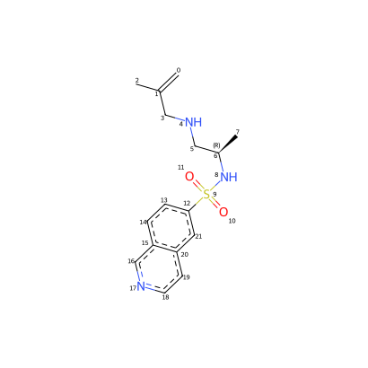 C=C(C)CNC[C@@H](C)NS(=O)(=O)c1ccc2cnccc2c1